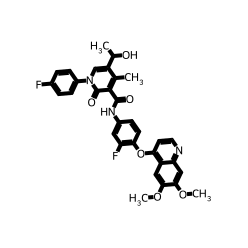 COc1cc2nccc(Oc3ccc(NC(=O)c4c(C)c(C(C)O)cn(-c5ccc(F)cc5)c4=O)cc3F)c2cc1OC